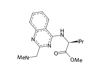 CNCc1nc(N[C@H](C(=O)OC)C(C)C)c2ccccc2n1